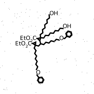 CCOC(=O)C1CC1(CCCCCCCCCOCc1ccccc1)CC(CCCCCCCOCc1ccccc1)C1C(C(=O)OCC)C1(CCCCCCCCCO)CCCCCCCCCO